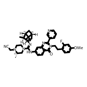 COc1ccc(CCn2c(-c3cccnc3)nc3cc(NC(=N[C@H]4C[C@H]5C[C@@H]([C@@H]4C)C5(C)C)N4CCN(CC#N)[C@@H](C)C4)ccc3c2=O)c(F)c1